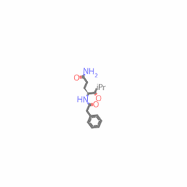 CC(C)C(=O)[C@H](CCC(N)=O)NC(=O)Cc1ccccc1